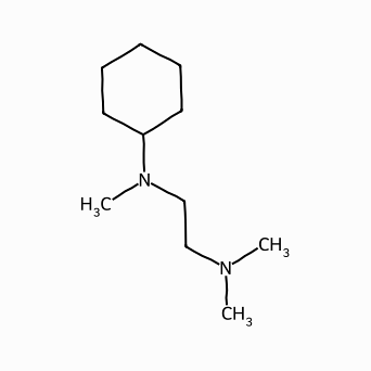 CN(C)CCN(C)C1CCCCC1